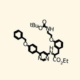 CCOC(=O)C(Cc1cccc(OCCNC(=O)OC(C)(C)C)c1)Nc1cc(-c2ccc(OCc3ccccc3)cc2)ncn1